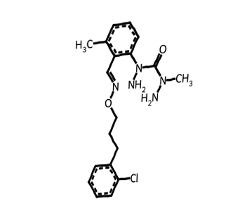 Cc1cccc(N(N)C(=O)N(C)N)c1C=NOCCCc1ccccc1Cl